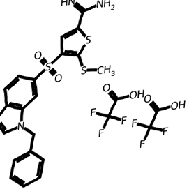 CSc1sc(C(=N)N)cc1S(=O)(=O)c1ccc2ncn(Cc3ccccc3)c2c1.O=C(O)C(F)(F)F.O=C(O)C(F)(F)F